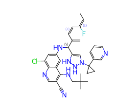 C=C(/C=C\C(F)=C/C)[C@H](Nc1cc(Cl)c2ncc(C#N)c(NCC(C)(C)C)c2c1)C1=CN(C2(c3cccnc3)CC2)NN1